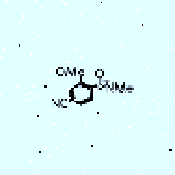 CN[S+]([O-])c1ccc(C#N)cc1OC